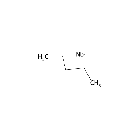 CCCCC.[Nb]